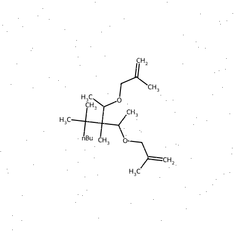 C=C(C)COC(C)C(C)(C(C)OCC(=C)C)C(C)(C)CCCC